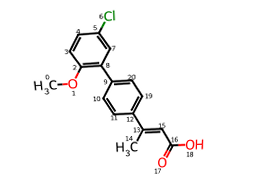 COc1ccc(Cl)cc1-c1ccc(C(C)=CC(=O)O)cc1